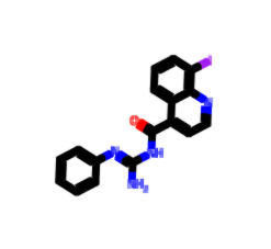 NC(=Nc1ccccc1)NC(=O)c1ccnc2c(I)cccc12